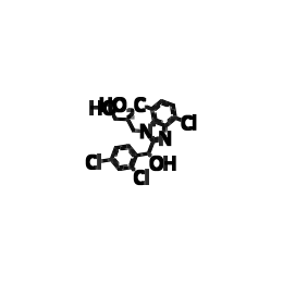 O=C(O)c1ccc(Cl)c2nc(C(O)c3ccc(Cl)cc3Cl)n(CCCO)c12